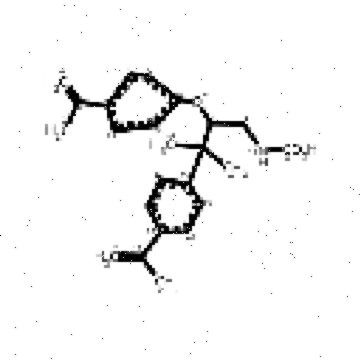 C=C(C)c1ccc(OC(CNC(=O)O)C(C)(C)c2ccc(C(=C)C)cc2)cc1